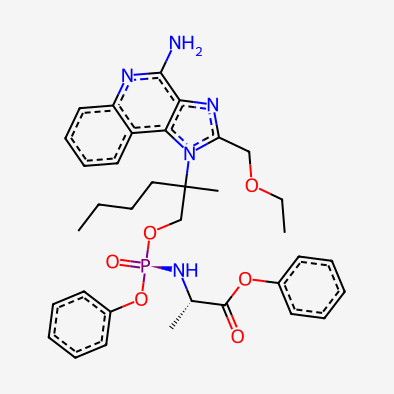 CCCCC(C)(CO[P@](=O)(N[C@@H](C)C(=O)Oc1ccccc1)Oc1ccccc1)n1c(COCC)nc2c(N)nc3ccccc3c21